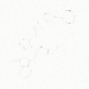 COC(=O)C[C@@H](Cc1c[nH]c2ccccc12)n1nncc1CNS(=O)(=O)c1ccc(-c2ccccc2)s1